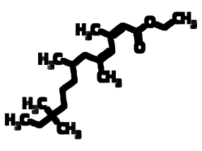 CCOC(=O)C=C(C)C=C(C)CC(C)CCCC(C)(C)CC